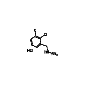 Cl.NNCc1cccc(F)c1Cl